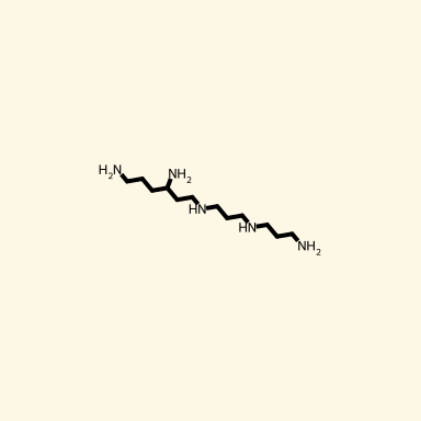 NCCCNCCCNCCC(N)CCCN